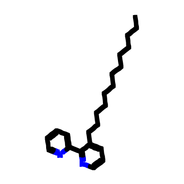 CCCCCCCCCCCCCc1cccnc1-c1ccccn1